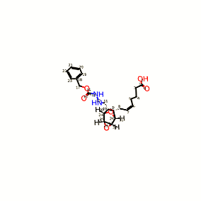 O=C(O)CCC/C=C\C[C@H]1[C@@H](CNNC(=O)OCc2ccccc2)[C@@H]2O[C@H]1[C@@H]1O[C@@H]12